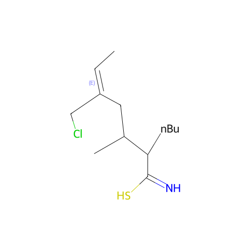 C/C=C(/CCl)CC(C)C(CCCC)C(=N)S